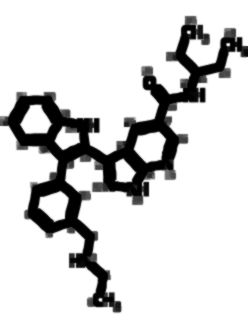 CCNCc1cccc(-c2c(-c3n[nH]c4ncc(C(=O)NC(CC)CC)cc34)[nH]c3ccccc23)c1